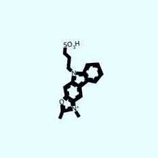 Cc1oc2cc3c(cc2[n+]1C)c1ccccc1n3CCCS(=O)(=O)O